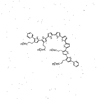 CCCCCCCCCCCCc1cc(-c2sc(-c3ccc(-c4ccc(-c5ccc(-c6ccc(-c7sc(-c8sc(-c9ccccc9)cc8CCCCCCCCCCCC)cc7CCCCCCCCCCCC)s6)s5)s4)s3)cc2CCCCCCCCCCCC)sc1-c1ccccc1